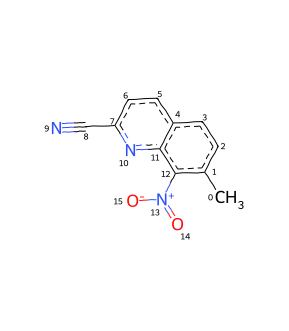 Cc1ccc2ccc(C#N)nc2c1[N+](=O)[O-]